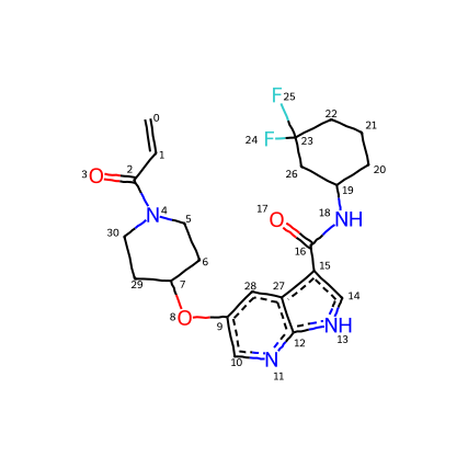 C=CC(=O)N1CCC(Oc2cnc3[nH]cc(C(=O)NC4CCCC(F)(F)C4)c3c2)CC1